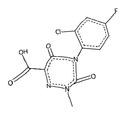 Cn1nc(C(=O)O)c(=O)n(-c2ccc(F)cc2Cl)c1=O